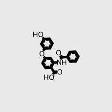 O=C(Nc1cc(Oc2cccc(O)c2)ccc1C(=O)O)c1ccccc1